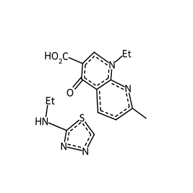 CCNc1nncs1.CCn1cc(C(=O)O)c(=O)c2ccc(C)nc21